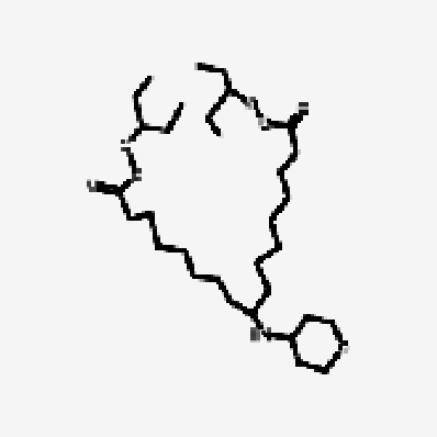 CCC(CC)OOC(=O)CCCCCCCC(CCCCCCCC(=O)OOC(CC)CC)NC1CCOCC1